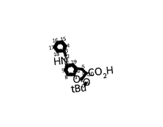 CC(C)(C)OC(=O)[C@@H](Cc1cccc(NCc2ccccc2)c1)C(=O)O